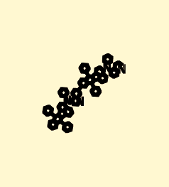 c1ccc(-c2c3c(c(-c4ccccc4)c4ccccc24)-c2ccc(N(c4ccccc4)c4ccnc5cc(-c6ccc7c(-c8ccccc8)c8c(c(-c9ccccc9)c7c6)-c6cccc7c(N(c9ccccc9)c9cccc%10ncccc9%10)ccc-8c67)ccc45)c4cccc-3c24)cc1